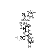 COc1cc(N2CCC3(CCN(C(=O)c4cccnc4)CC3)C2=O)ccc1-c1cn[nH]c1